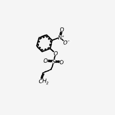 C=CCS(=O)(=O)Oc1ccccc1[N+](=O)[O-]